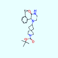 CC(C)(C)OC(=O)N1CCC2(CC1)CC(N1CCNC(=O)C1c1ccccc1C1CC1)C2